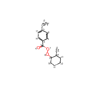 CCCc1ccc(C(=O)OO[C]2CCCCC2CC)cc1